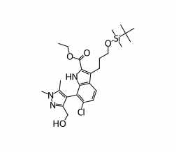 CCOC(=O)c1[nH]c2c(-c3c(CO)nn(C)c3C)c(Cl)ccc2c1CCCO[Si](C)(C)C(C)(C)C